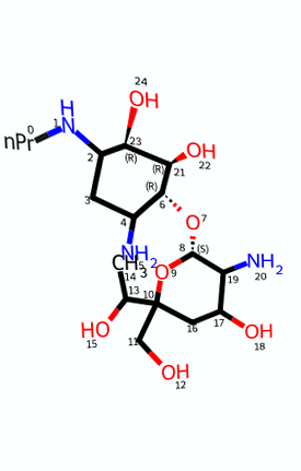 CCCNC1CC(N)[C@@H](O[C@H]2OC(CO)(C(C)O)CC(O)C2N)[C@H](O)[C@@H]1O